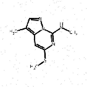 CNc1nc(SC)cc2c(C)cnn12